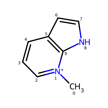 C[n+]1cccc2cc[nH]c21